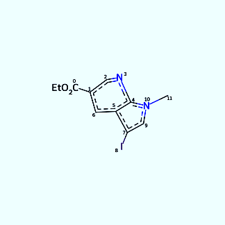 CCOC(=O)c1cnc2c(c1)c(I)cn2C